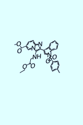 CCOC(=O)CNc1c(-c2cn(S(=O)(=O)c3ccc(C)cc3)c3ccccc23)nc2ccc(C(=O)OC)cn12